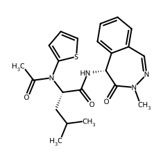 CC(=O)N(c1cccs1)[C@@H](CC(C)C)C(=O)N[C@H]1C(=O)N(C)N=Cc2ccccc21